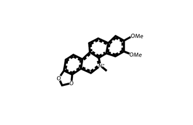 COc1cc2ccc3c4ccc5c(c4c[n+](C)c3c2cc1OC)OCO5